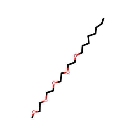 CCCCCCCCOCCOCCOCCOCCOC